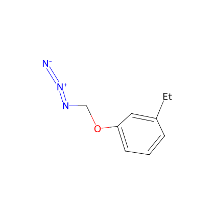 CCc1cccc(OCN=[N+]=[N-])c1